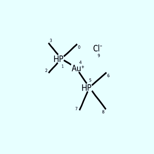 C[PH](C)(C)[Au+][PH](C)(C)C.[Cl-]